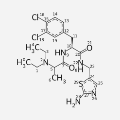 CCN(CC)C(C)C(=O)N[C@@H](Cc1ccc(Cl)c(Cl)c1)C(=O)NCc1cnc(N)s1